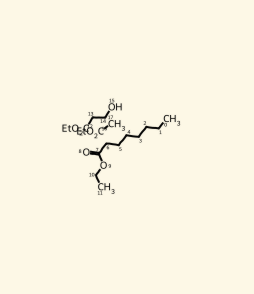 CCCCCCCC(=O)OCC.CCOC(=O)CCO.CCOC(C)=O